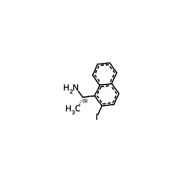 C[C@H](N)c1c(I)ccc2ccccc12